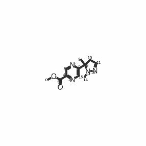 COC(=O)c1cnc(C2(C)CC=NN2C)cn1